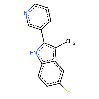 Cc1c(-c2cccnc2)[nH]c2ccc(F)cc12